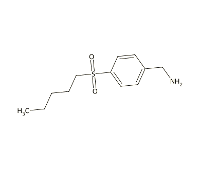 CCCCCS(=O)(=O)c1ccc(CN)cc1